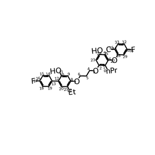 CCCc1c(OCCCOc2cc(O)c(-c3ccc(F)cc3)cc2CC)cccc1Oc1cc(F)ccc1C(=O)O